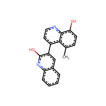 Cc1ccc(O)c2nccc(-c3cc4ccccc4nc3O)c12